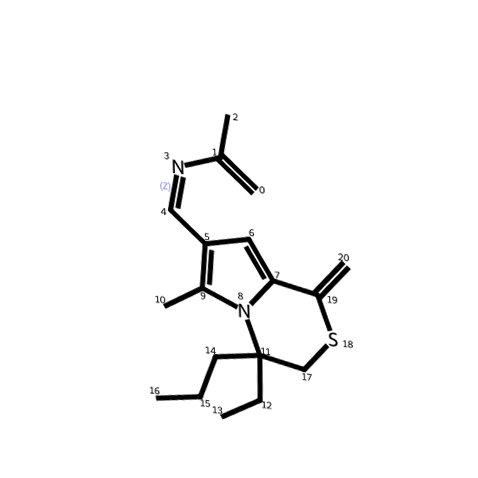 C=C(C)/N=C\c1cc2n(c1C)C(CC)(CCC)CSC2=C